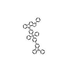 c1ccc(N2CCc3c2ccc2c4ccccc4n(-c4ccc([Si](c5ccccc5)(c5ccccc5)c5ccc(-c6ccc7c(c6)c6ccccc6n7-c6ccccc6)cc5)cc4)c32)cc1